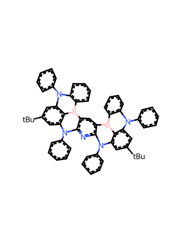 CC(C)(C)c1cc2c3c(c1)N(c1ccccc1)c1nc4c(cc1B3c1ccccc1N2c1ccccc1)B1c2ccccc2N(c2ccccc2)c2cc(C(C)(C)C)cc(c21)N4c1ccccc1